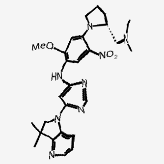 COc1cc(N2CCC[C@@H]2CN(C)C)c([N+](=O)[O-])cc1Nc1cc(N2CC(C)(C)c3ncccc32)ncn1